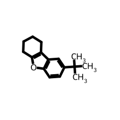 CC(C)(C)c1ccc2oc3c(c2c1)CCCC3